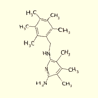 Cc1c(N)nc(NCc2c(C)c(C)c(C)c(C)c2C)c(C)c1C